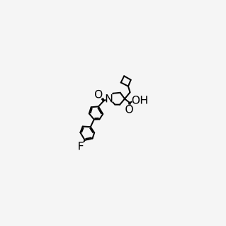 O=C(c1ccc(-c2ccc(F)cc2)cc1)N1CCC(CC2CCC2)(C(=O)O)CC1